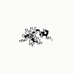 CCCOC(=O)C(C)(C)NP(=O)(CO[C@H](C)Cn1cnc2c(N)ccnc21)NC(C)(C)C(=O)OCCC